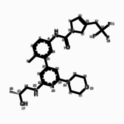 Cc1ccc(NC(=O)N2CC=C(CC(F)(F)F)C2)cc1-c1cc(NC[C@@H](C)O)nc(N2CCOCC2)c1